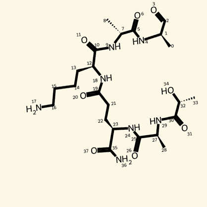 C[C@H](C=O)NC(=O)[C@@H](C)NC(=O)[C@H](CCCCN)NC(=O)CC[C@@H](NC(=O)[C@H](C)NC(=O)[C@@H](C)O)C(N)=O